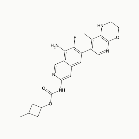 C[C]1CC(OC(=O)Nc2cc3cc(-c4cnc5c(c4C)NCCO5)c(F)c(N)c3cn2)C1